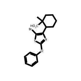 CC1(C(=O)O)CCCCC1c1nc(Oc2ccccc2)sc1Br